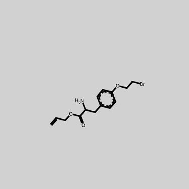 C=CCOC(=O)C(N)Cc1ccc(OCCBr)cc1